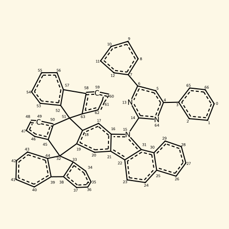 c1ccc(-c2cc(-c3ccccc3)nc(-n3c4cc5c(cc4c4ccc6ccccc6c43)C3(c4ccccc4-c4ccccc43)c3ccccc3C53c4ccccc4-c4ccccc43)n2)cc1